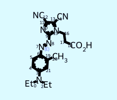 CCN(CC)c1ccc(/N=N/c2nc(C#N)c(C#N)n2CCC(=O)O)c(C)c1